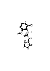 COc1cccc(Cl)c1NC(=O)N=C1NCCS1